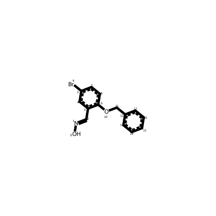 ON=Cc1cc(Br)ccc1OCc1ccccc1